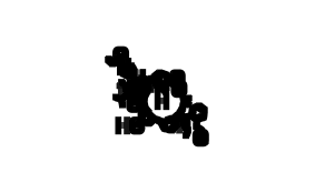 C=CC(=O)N1C[C@H](C)[C@H](C(=O)N(C)C(C(=O)N[C@H]2Cc3cc(O)cc(c3)-c3ccc4c(c3)c(c(-c3ccccc3CCOC)n4CC)CC(C)(C)COC(=O)[C@@H]3CCCN(N3)C2=O)C(C)C)C1